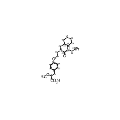 CCOC(Cc1ccc(OCCN(CC2CCCCC2)C(=O)NCC(C)C)cc1)C(=O)O